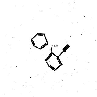 C#Cc1ccccc1C(=O)O.c1ccccc1